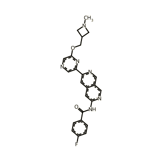 CN1CC(COc2cncc(-c3cc4cc(NC(=O)c5ccc(F)cc5)ncc4cn3)n2)C1